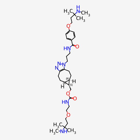 CNC(C)(C)CCOCCNC(=O)OC[C@@H]1[C@@H]2CCc3c(nnn3CCCNC(=O)c3ccc(OCCC(C)(C)NC)cc3)CC[C@@H]21